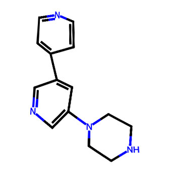 c1cc(-c2cncc(N3CCNCC3)c2)ccn1